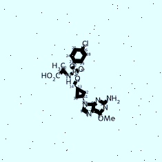 COc1nc(N)nc2c1ncn2[C@H]1C[C@@H](COP(=O)(NC(C)C(=O)O)Oc2ccc(Cl)cc2)C1